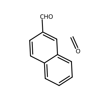 C=O.O=Cc1ccc2ccccc2c1